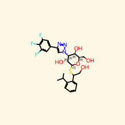 CC(C)c1ccccc1C(CO)S[C@@H]1O[C@H](CO)[C@H](O)[C@H](n2cc(-c3cc(F)c(F)c(F)c3)nn2)[C@H]1O